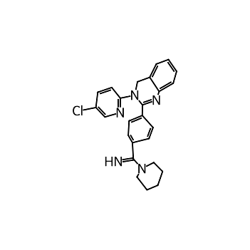 N=C(c1ccc(C2=Nc3ccccc3CN2c2ccc(Cl)cn2)cc1)N1CCCCC1